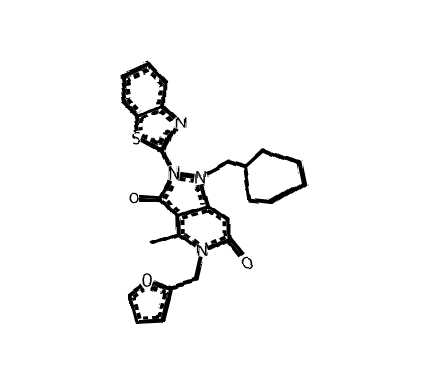 Cc1c2c(=O)n(-c3nc4ccccc4s3)n(CC3CCCCC3)c2cc(=O)n1Cc1ccco1